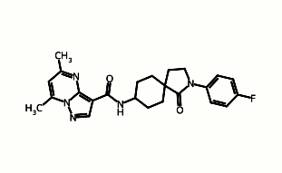 Cc1cc(C)n2ncc(C(=O)NC3CCC4(CC3)CCN(c3ccc(F)cc3)C4=O)c2n1